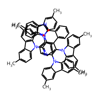 Cc1ccc2c(c1)c1cc(C)ccc1n2-c1nc(-n2c3ccc(C)cc3c3cc(C)ccc32)c(-n2c3ccc(C)cc3c3cc(C)ccc32)c(-c2ccccc2-c2nc3ccccc3n2-c2ccccc2)c1-n1c2ccc(C)cc2c2cc(C)ccc21